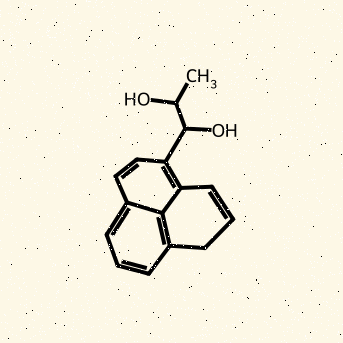 CC(O)C(O)c1ccc2cccc3c2c1C=CC3